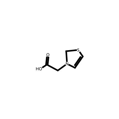 O=C(O)CN1C=CSC1